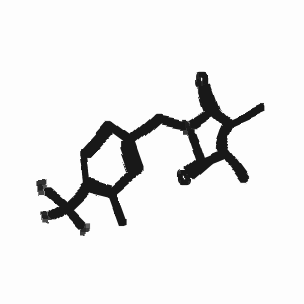 CC1=C(C)C(=O)N(Cc2ccc(C(F)(F)F)c(C)c2)C1=O